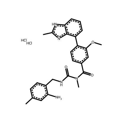 COc1cc(C(=O)N(C)C(=O)NCc2ccc(C)cc2N)ccc1-c1cccc2[nH]c(C)nc12.Cl.Cl